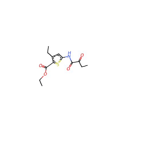 CCOC(=O)c1sc(NC(=O)C(=O)CC)cc1CC